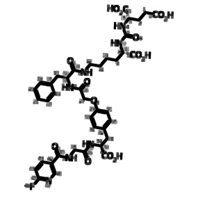 O=C(O)CC[C@H](NC(=O)N[C@@H](CCCCNC(=O)[C@H](Cc1ccccc1)NC(=O)COc1ccc(C[C@H](NC(=O)CNC(=O)c2ccc(F)nc2)C(=O)O)cc1)C(=O)O)C(=O)O